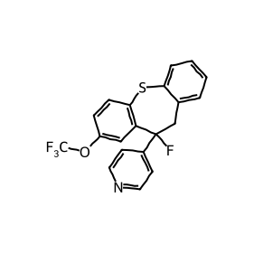 FC(F)(F)Oc1ccc2c(c1)C(F)(c1ccncc1)Cc1ccccc1S2